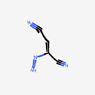 N#CC=C(C#N)N=N